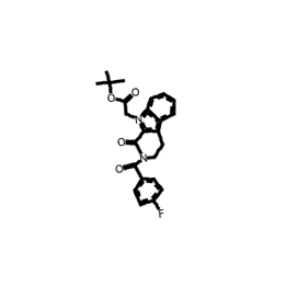 CC(C)(C)OC(=O)Cn1c2c(c3ccccc31)CCN(C(=O)c1ccc(F)cc1)C2=O